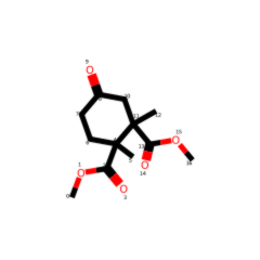 COC(=O)C1(C)CCC(=O)CC1(C)C(=O)OC